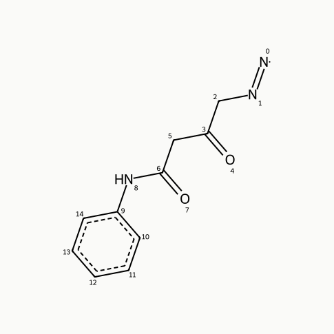 [N]=NCC(=O)CC(=O)Nc1ccccc1